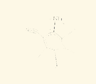 Cc1c(C)c(C)c(C#N)c(N)c1C